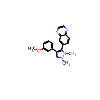 COc1cccc(C2=C(c3ccc4nccnc4c3)N(C)N(C)C2)c1